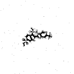 CCS(=O)(=O)c1ccc2c(S(=O)(=O)CC)c(-c3nc4cc(C(F)(F)F)ncc4n3C)sc2c1